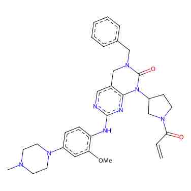 C=CC(=O)N1CCC(N2C(=O)N(Cc3ccccc3)Cc3cnc(Nc4ccc(N5CCN(C)CC5)cc4OC)nc32)C1